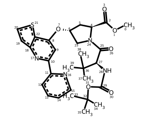 COC(=O)[C@@H]1C[C@@H](Oc2cc(-c3ccccn3)nc3ccsc23)CN1C(=O)[C@@H](NC(=O)OC(C)(C)C)C(C)(C)C